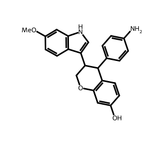 COc1ccc2c(C3COc4cc(O)ccc4C3c3ccc(N)cc3)c[nH]c2c1